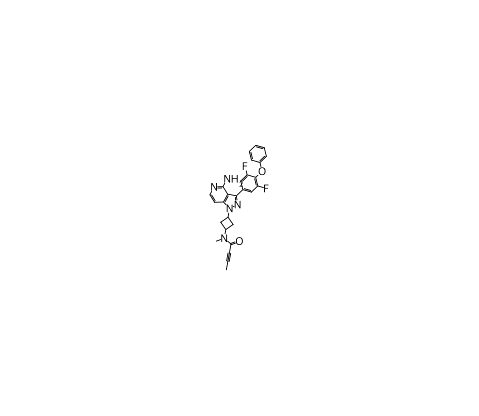 CC#CC(=O)N(C)C1CC(n2nc(-c3cc(F)c(Oc4ccccc4)c(F)c3)c3c(N)nccc32)C1